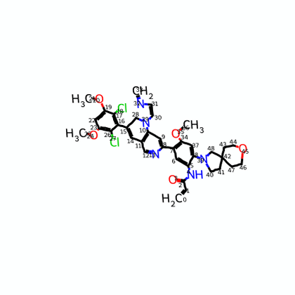 C=CC(=O)Nc1cc(-c2cc3c(cn2)C=C(c2c(Cl)c(OC)cc(OC)c2Cl)CN3/C=C\N=C)c(OC)cc1N1CCC2(CCOCC2)C1